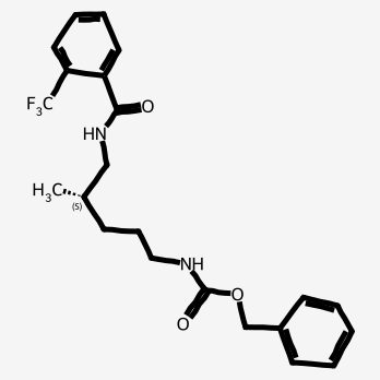 C[C@@H](CCCNC(=O)OCc1ccccc1)CNC(=O)c1ccccc1C(F)(F)F